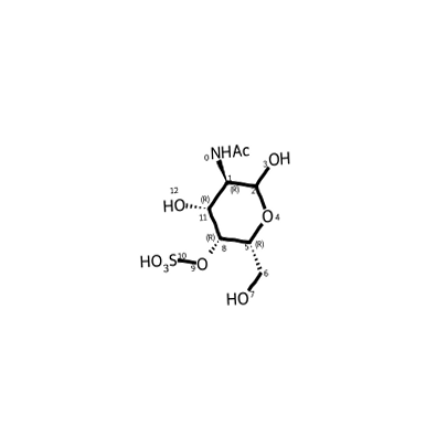 CC(=O)N[C@H]1C(O)O[C@H](CO)[C@H](OS(=O)(=O)O)[C@@H]1O